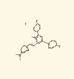 CN(C)c1ccc(/C=C/c2cc(-c3ccc(I)cc3)cc(-c3ccc(F)cc3)[n+]2C)cc1.[I-]